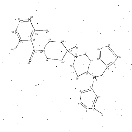 Cc1cccc(N(Cc2ccccc2)C2CCN(C3(C)CCN(C(=O)c4c(C)ncnc4C)CC3)CC2)c1